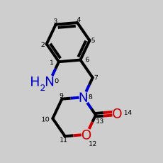 Nc1ccccc1CN1CCCOC1=O